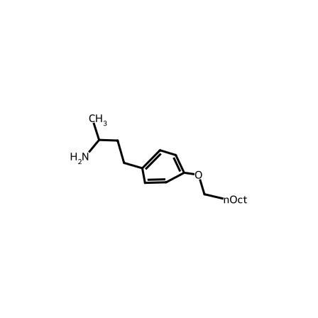 CCCCCCCCCOc1ccc(CCC(C)N)cc1